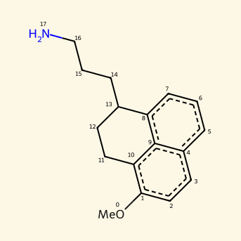 COc1ccc2cccc3c2c1CCC3CCCN